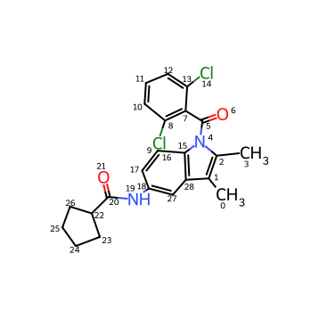 Cc1c(C)n(C(=O)c2c(Cl)cccc2Cl)c2ccc(NC(=O)C3CCCC3)cc12